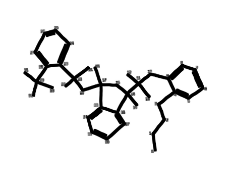 CCCCc1ccccc1CC(C)(C)C1(C)CC(C)(CC(C)(C)c2ccccc2C(C)(C)C)c2ccccc21